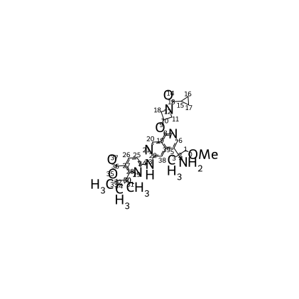 COCC(C)(N)c1cnc(OC2CN(C(=O)C3CC3)C2)c2cnc(Nc3ccc4c(n3)[C@@H](C)C(C)(C)OC4=O)cc12